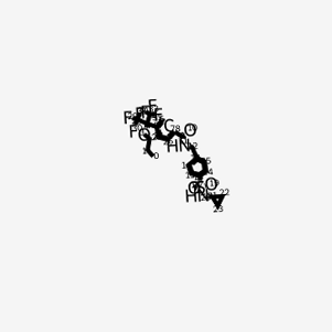 CCCOC(c1ccc(C(=O)NCc2ccc(S(=O)(=O)NC3CC3)cc2)cc1)(C(F)(F)F)C(F)(F)F